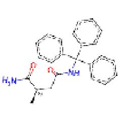 C[C@H](CC(=O)NC(c1ccccc1)(c1ccccc1)c1ccccc1)C(N)=O